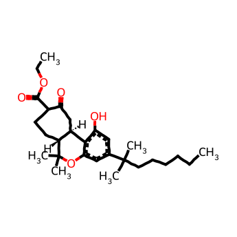 CCCCCCC(C)(C)c1cc(O)c2c(c1)OC(C)(C)[C@@H]1CCC(C(=O)OCC)C(=O)C[C@@H]21